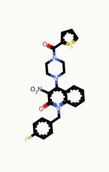 O=C(c1cccs1)N1CCN(c2c([N+](=O)[O-])c(=O)n(Cc3ccc(F)cc3)c3ccccc23)CC1